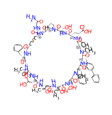 CC(C)C1NC(=O)[C@H](Cc2ccccc2)NC(=O)CSC[C@@H](C(=O)NCC(N)=O)NC(=O)[C@@H]2CCCN2C(=O)[C@H](CO)NC(=O)[C@H](CCC(=O)O)NC(=O)[C@H](C)N(C)C(=O)[C@H](Cc2ccc(-c3ccccc3)cc2)NC(=O)[C@H](Cc2ccccc2)N(C)C(=O)[C@H](CO)NC(=O)[C@H]([C@@H](C)O)NC(=O)[C@H]([C@@H](C)O)NC(=O)[C@H](CC(=O)O)NC1=O